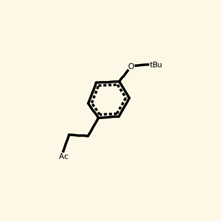 CC(=O)CCc1ccc(OC(C)(C)C)cc1